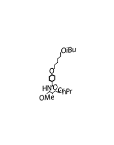 CC[CH2][Cr][CH2]CC(OC)C(C)NC(=O)c1ccc(OCCCCCCOCC(C)C)cc1